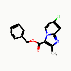 Cc1nc2cc(Cl)ccn2c1C(=O)OCc1ccccc1